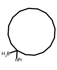 BC1(CCC)CCCCCCCCCCCCCCC1